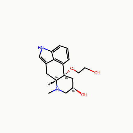 CN1C[C@H](O)C[C@]2(OCCO)c3cccc4[nH]cc(c34)C[C@@H]12